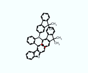 CC1(C)c2ccccc2-c2ccc(N(c3ccccc3-c3cccc4oc5ccccc5c34)c3cccc4c3-c3ccccc3C4(C)C)cc21